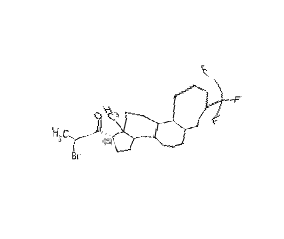 CC(Br)C(=O)[C@H]1CCC2C3CCC4CC(C(F)(F)F)CCC4C3CCC21C